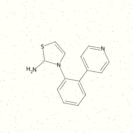 N[C]1SC=CN1c1ccccc1-c1ccncc1